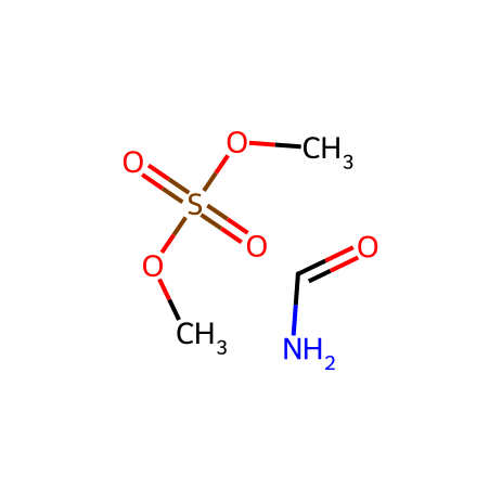 COS(=O)(=O)OC.NC=O